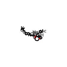 CC(=O)N1CCC(NC2CC(C(=O)NC[C@H](O)CN3CCc4cc(OCc5ocnc5C)ccc4C3)C3(CCCCCCCCC3)C(N3CCCCC3)N2)CC1